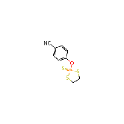 N#Cc1ccc(OP2(=S)SCCS2)cc1